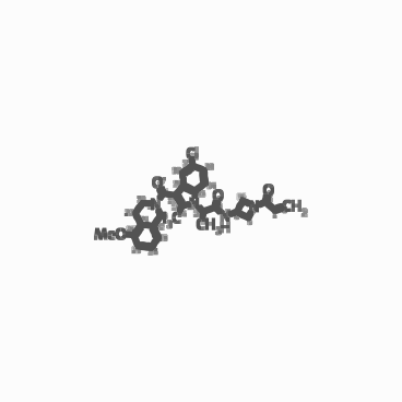 C=CC(=O)N1CC(NC(=O)C(C)n2c(C)c(C(=O)N3CCc4c(cccc4OC)C3)c3cc(Cl)ccc32)C1